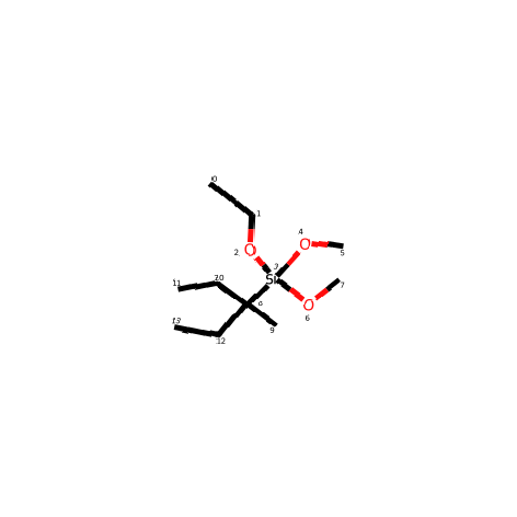 CCO[Si](OC)(OC)C(C)(CC)CC